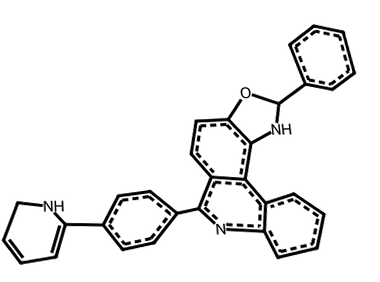 C1=CCNC(c2ccc(-c3nc4ccccc4c4c5c(ccc34)OC(c3ccccc3)N5)cc2)=C1